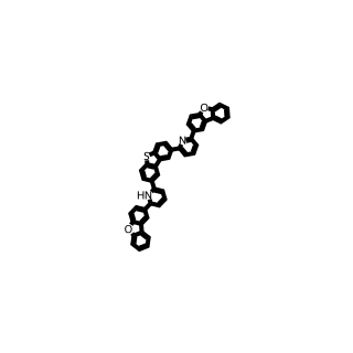 C1=CC(c2ccc3oc4ccccc4c3c2)NC(c2ccc3sc4ccc(-c5cccc(-c6ccc7oc8ccccc8c7c6)n5)cc4c3c2)=C1